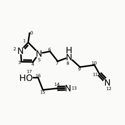 Cc1nccn1CCNCCC#N.N#CCCO